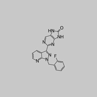 O=c1[nH]c2cnc(-c3nn(Cc4ccccc4F)c4ncccc34)nc2[nH]1